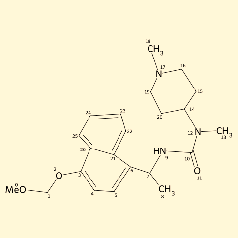 COCOc1ccc(C(C)NC(=O)N(C)C2CCN(C)CC2)c2ccccc12